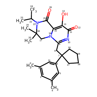 Cc1cc(C)cc(C2(Cc3nc(=O)c(O)c4n3CC(C)(C)N(C(C)C(F)(F)F)C4=O)CCCC2)c1